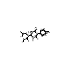 CCC(=O)N(CC(C)C)C1NC(=O)N(c2ccc(C)cc2)C(=O)N1